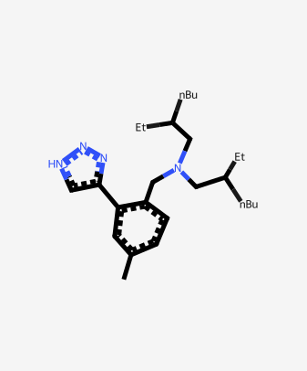 CCCCC(CC)CN(Cc1ccc(C)cc1-c1c[nH]nn1)CC(CC)CCCC